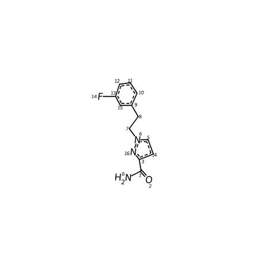 NC(=O)c1[c]cn(CCc2cccc(F)c2)n1